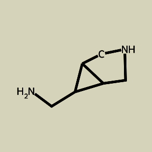 NCC1C2CNCC12